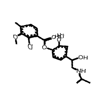 COc1c(C)ccc(C(=O)Oc2ccc(C(O)CNC(C)C)cc2O)c1Cl.Cl